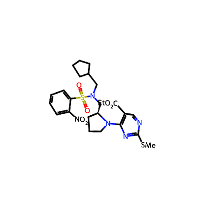 CCOC(=O)c1cnc(SC)nc1N1CCC[C@H]1CN(CC1CCCC1)S(=O)(=O)c1ccccc1[N+](=O)[O-]